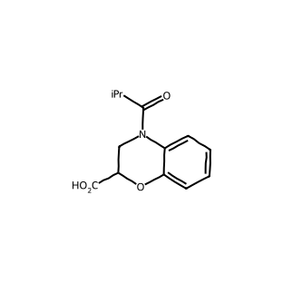 CC(C)C(=O)N1CC(C(=O)O)Oc2ccccc21